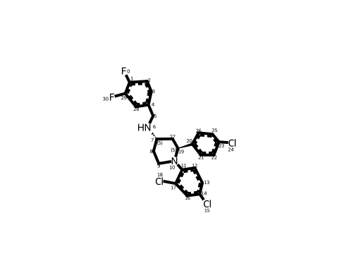 Fc1ccc(CN[C@H]2CCN(c3ccc(Cl)cc3Cl)[C@H](c3ccc(Cl)cc3)C2)cc1F